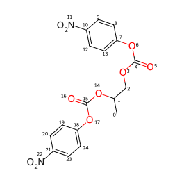 CC(COC(=O)Oc1ccc([N+](=O)[O-])cc1)OC(=O)Oc1ccc([N+](=O)[O-])cc1